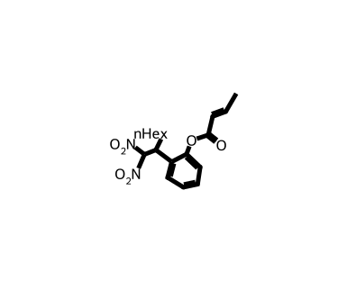 C/C=C/C(=O)Oc1ccccc1C(CCCCCC)C([N+](=O)[O-])[N+](=O)[O-]